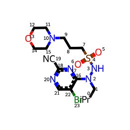 CC(C)CN(NS(=O)(=O)CCCN1CCOCC1)c1nc(C#N)ncc1Br